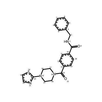 O=C(NCc1ccccc1)c1ccc(C(=O)N2CCN(c3nccs3)CC2)cc1